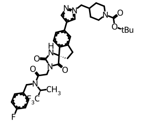 C[C@H](N(Cc1ccc(F)cc1)C(=O)CN1C(=O)N[C@]2(CCc3cc(-c4cnn(CC5CCN(C(=O)OC(C)(C)C)CC5)c4)ccc32)C1=O)C(F)(F)F